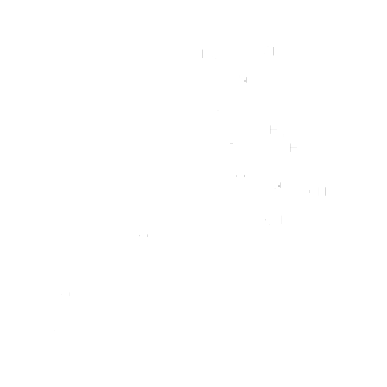 COCCOCCC[Si](C)(O[Si](C)(C)C)O[Si](C)(C)C